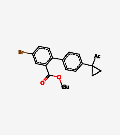 CC(=O)C1(c2ccc(-c3ccc(Br)cc3C(=O)OC(C)(C)C)cc2)CC1